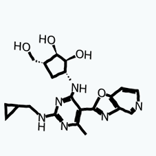 Cc1nc(NCC2CC2)nc(N[C@@H]2C[C@H](CO)[C@@H](O)[C@H]2O)c1-c1nc2cnccc2o1